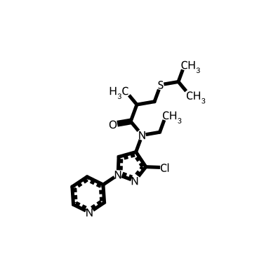 CCN(C(=O)C(C)CSC(C)C)c1cn(-c2cccnc2)nc1Cl